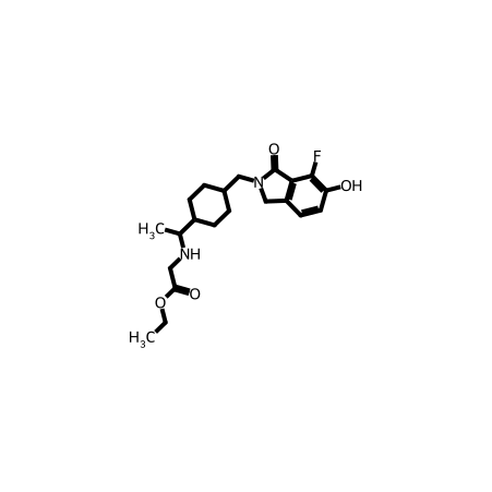 CCOC(=O)CNC(C)C1CCC(CN2Cc3ccc(O)c(F)c3C2=O)CC1